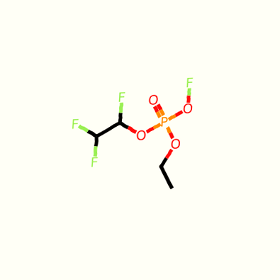 CCOP(=O)(OF)OC(F)C(F)F